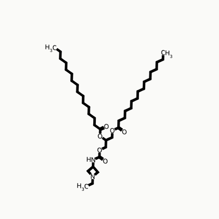 CCCCCCCCCCCCCCCC(=O)OCC(COC(=O)NC1CN(CC)C1)OC(=O)CCCCCCCCCCCCCCC